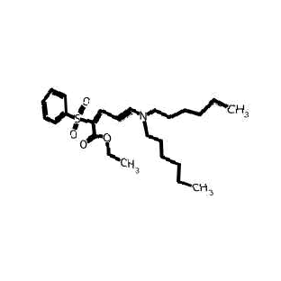 CCCCCCN(C=CC=C(C(=O)OCC)S(=O)(=O)c1ccccc1)CCCCCC